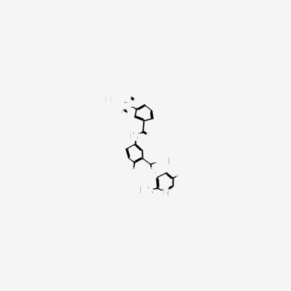 CC(Oc1cc(Cl)cnc1N)c1cc(NC(=O)c2cccc(S(C)(=O)=O)c2)ccc1F